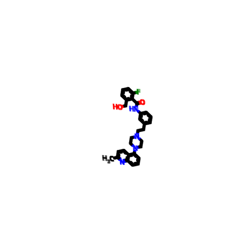 Cc1ccc2c(N3CCN(CCc4cccc(NC(=O)c5c(F)cccc5CO)c4)CC3)cccc2n1